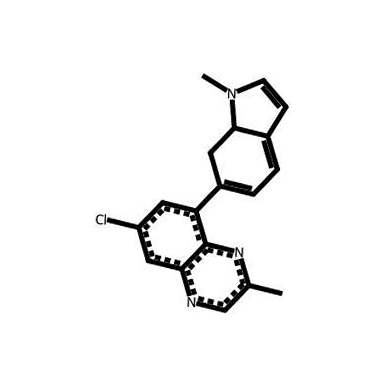 Cc1cnc2cc(Cl)cc(C3=CC=C4C=CN(C)C4C3)c2n1